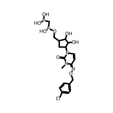 Cn1c(=O)n(C2CC(COP(O)CP(O)O)C(O)C2O)cc/c1=N/OCc1ccc(Cl)cc1